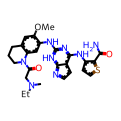 CCN(C)CC(=O)N1CCCc2cc(OC)c(Nc3nc(Nc4ccsc4C(N)=O)c4ccnc-4[nH]3)cc21